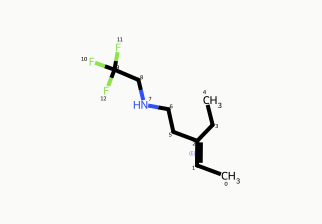 C/C=C(\CC)CCNCC(F)(F)F